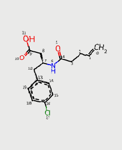 C=CCCC(=O)N[C@H](CC(=O)O)Cc1ccc(Cl)cc1